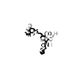 O=C(Cc1cccs1)NC1C(=O)N2C(C(=O)O)=C(C=CSc3cc(=O)c4nccnc4s3)CS[C@@H]12